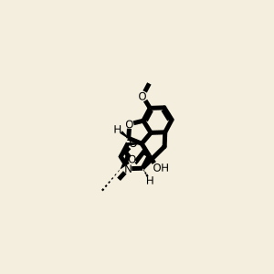 COC1=C2O[C@H]3OCC[C@@H](C)OCCC4(O)[C@H]5CC(C=C1)C2[C@@]34CCN5C